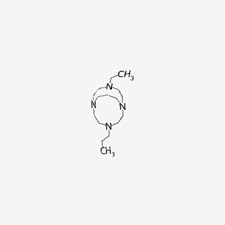 CCCN1CCN2CCCN(CCN(CC)CC2)CC1